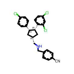 N#Cc1ccc(CNC[C@@H]2C[C@H](c3ccc(Cl)cc3)[C@H](c3ccc(Cl)cc3Cl)C2)cc1